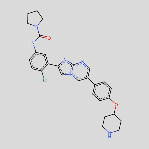 O=C(Nc1ccc(Cl)c(-c2cn3cc(-c4ccc(OC5CCNCC5)cc4)cnc3n2)c1)N1CCCC1